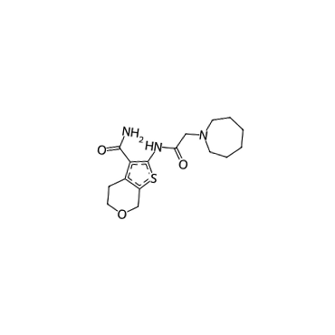 NC(=O)c1c(NC(=O)CN2CCCCCC2)sc2c1CCOC2